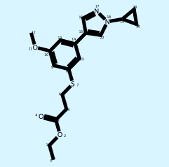 CCOC(=O)CCSc1cc(OC)cc(-c2cnn(C3CC3)c2)c1